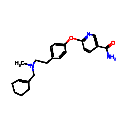 CN(CCc1ccc(Oc2ccc(C(N)=O)cn2)cc1)CC1=CCCCC1